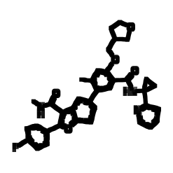 CNC(=O)c1c(-c2ccc(F)cc2)oc2ccc(-c3cc(C(=O)NC4(c5ccccn5)CC4)c(OCC4CCOC4)cc3C)cc12